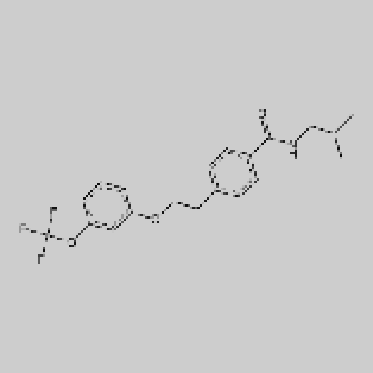 CC(C)CNC(=O)c1ccc(CCOc2cccc(OC(F)(F)F)c2)cc1